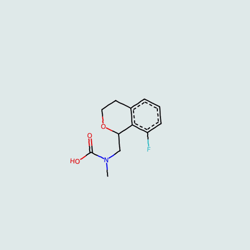 CN(CC1OCCc2cccc(F)c21)C(=O)O